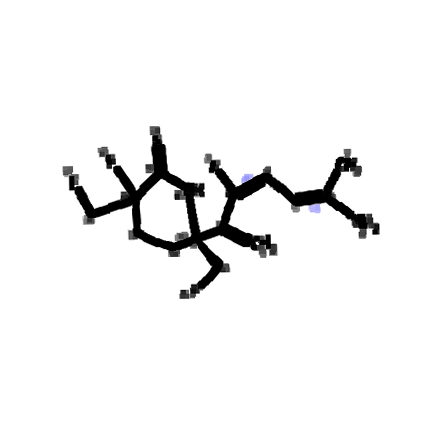 C=C(/C(F)=C\C=C(/C)N)[C@]1(CF)CCC(F)(CF)C(=S)N1